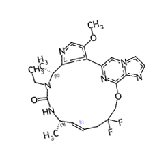 CCN1C(=O)N[C@@H](C)/C=C/CC(F)(F)COc2nc(cn3ccnc23)-c2cc(ncc2OC)[C@H]1C